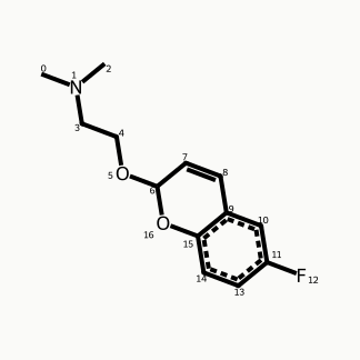 CN(C)CCOC1C=Cc2cc(F)ccc2O1